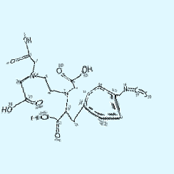 O=C(O)CN(CCN(CC(=O)O)C(Cc1ccc(N=C=S)cc1)C(=O)O)CC(=O)O